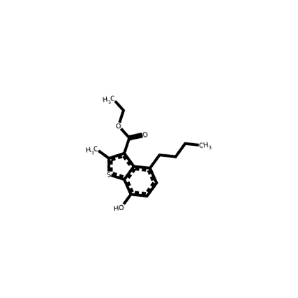 CCCCc1ccc(O)c2sc(C)c(C(=O)OCC)c12